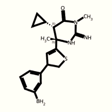 Bc1cccc(C2C=C([C@@]3(C)NC(=N)N(C)C(=O)[C@H]3C3CC3)SC2)c1